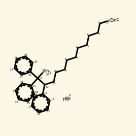 Br.CCCCCCCCCCCCCCCCCCCCC(c1ccccc1)C(P)(c1ccccc1)c1ccccc1